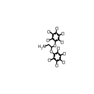 [AlH2][CH2]C(Oc1c(Cl)c(Cl)c(Cl)c(Cl)c1Cl)Oc1c(Cl)c(Cl)c(Cl)c(Cl)c1Cl